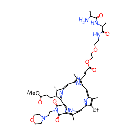 CCC1=C(C)c2cc3[nH]c(cc4nc(c5c6[nH]c(cc1n2)c(C)c6C(=O)N(CCN1CCOCC1)C5=O)[C@@H](CCC(=O)OC)[C@@H]4C)c(C)c3/C=C/C(=O)OCCOCCNC(=O)[C@H](C)NC(=O)[C@H](C)N